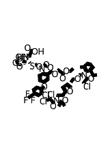 CC1(C)OC(c2ccco2)CN1C(=O)C(Cl)Cl.CCOC(=O)COC(=O)c1cc(Oc2ccc(C(F)(F)F)cc2Cl)ccc1[N+](=O)[O-].CCOCN(C(=O)CCl)c1c(C)cccc1CC.C[S+](C)C.O=C(O)CNCP(=O)([O-])O